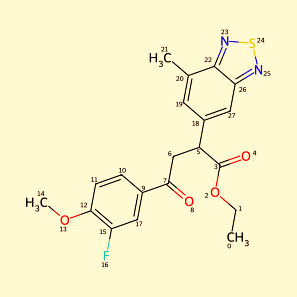 CCOC(=O)C(CC(=O)c1ccc(OC)c(F)c1)c1cc(C)c2nsnc2c1